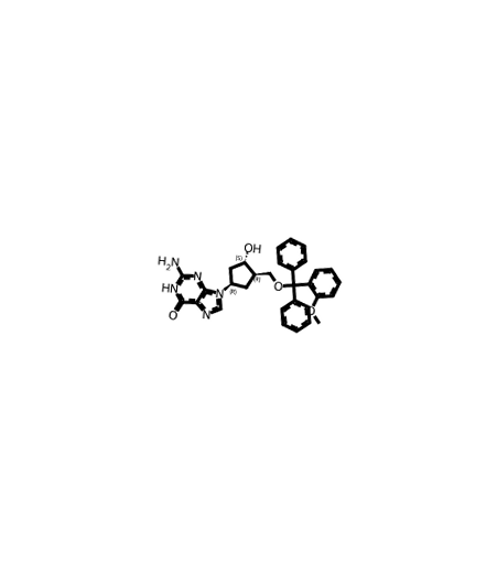 COc1ccccc1C(OC[C@H]1C[C@@H](n2cnc3c(=O)[nH]c(N)nc32)C[C@@H]1O)(c1ccccc1)c1ccccc1